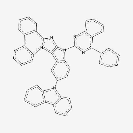 c1ccc(-c2nc(-n3c4ccc(-n5c6ccccc6c6ccccc65)cc4c4c3nc3c5ccccc5c5ccccc5n34)nc3ccccc23)cc1